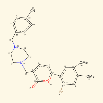 COc1cc(Br)c(-c2ccc(CN3CCN(Cc4ccc(C#N)cc4)CC3)c(=O)o2)cc1OC